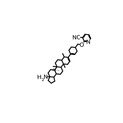 CC1C(C2=CCC(COc3ncccc3C#N)CC2)=CCC2(C)C1CCC1(C)C2CCC2C3CCCC3(N)CC[C@]21C